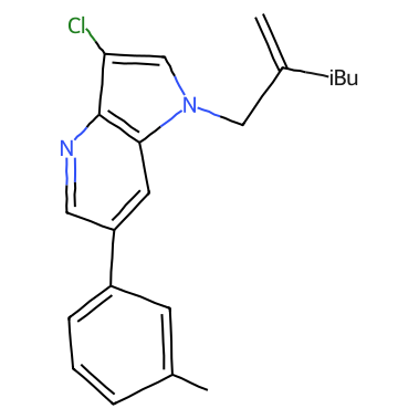 C=C(Cn1cc(Cl)c2ncc(-c3cccc(C)c3)cc21)C(C)CC